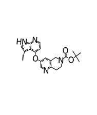 CC(C)(C)OC(=O)N1CCc2ncc(Oc3ccnc4[nH]cc(I)c34)cc2C1